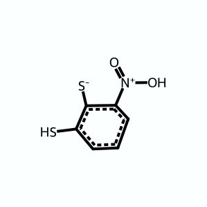 O=[N+](O)c1cccc(S)c1[S-]